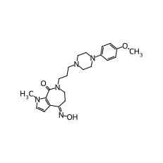 COc1ccc(N2CCN(CCCN3CCC(=NO)c4ccn(C)c4C3=O)CC2)cc1